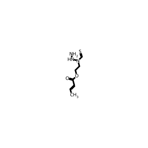 C/C=C/C(=O)OCCN(C=S)NN